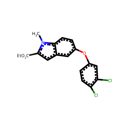 CCOC(=O)c1cc2cc(Oc3ccc(Cl)c(Cl)c3)ccc2n1C